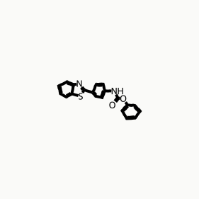 O=C(Nc1ccc(-c2nc3ccccc3s2)cc1)Oc1ccccc1